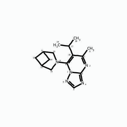 Cc1nc2ncnn2c(N2CC3CC(C3)C2)c1C(C)C